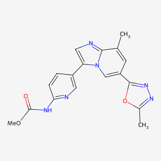 COC(=O)Nc1ccc(-c2cnc3c(C)cc(-c4nnc(C)o4)cn23)cn1